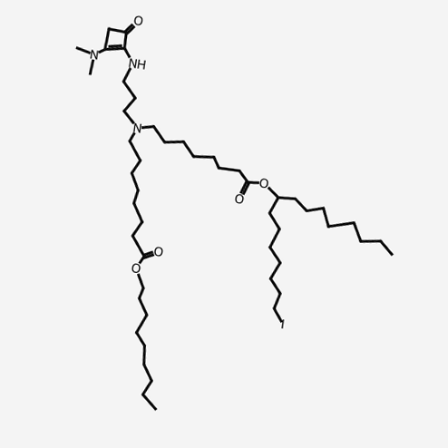 CCCCCCCCCOC(=O)CCCCCCCN(CCCCCCCC(=O)OC(CCCCCCCC)CCCCCCCI)CCCNC1=C(N(C)C)CC1=O